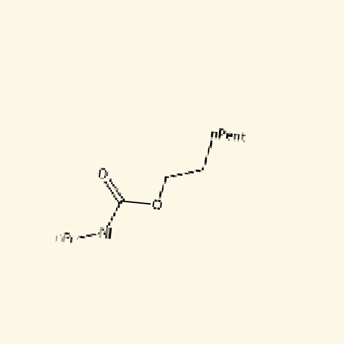 CCCCCCCOC(=O)NCCC